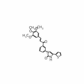 COc1cc(/C=C/C(=O)c2cccc(-n3cc(-c4cccs4)[nH]c3=O)c2)cc(OC)c1OC